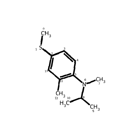 CSc1ccc(N(C)C(C)C)c(C)c1